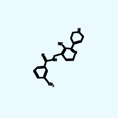 Cc1cccc(C(=O)NCc2ccnc(C3=CCNCC3)c2C#N)c1